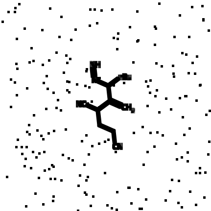 C=C(C(C#N)CCC#N)C(CCCC)N=N